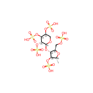 C[C@H]1O[C@H](COS(=O)(=O)O)[C@@H](O[C@@H]2OC[C@H](OS(=O)(=O)O)[C@H](OS(=O)(=O)O)[C@H]2OS(=O)(=O)O)[C@@H]1OS(=O)(=O)O